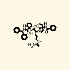 C=C(N)NCCC[C@@H](NC(=O)C(CC)(CC)NC(=O)c1ccccc1)C(=O)NC1(C(=O)NC(c2ccccc2)c2ccccc2)CCCC1